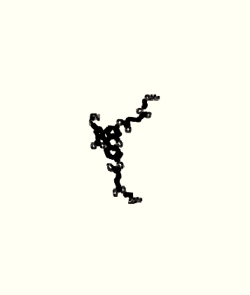 COCCOC(=O)CCC(=O)Oc1ccc2c(c1)Oc1cc(OC(=O)CCC(=O)OCCOC)ccc1C21OC(=O)c2cc(SC#N)ccc21